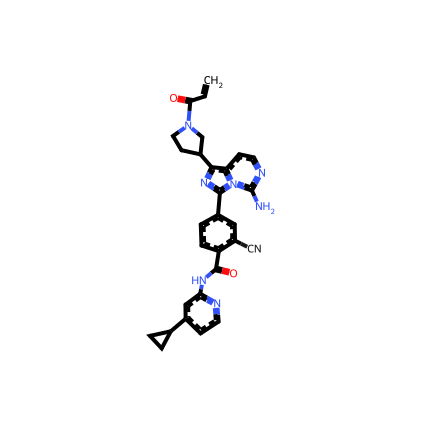 C=CC(=O)N1CCC(c2nc(-c3ccc(C(=O)Nc4cc(C5CC5)ccn4)c(C#N)c3)n3c(N)nccc23)C1